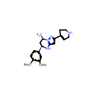 COc1ccc([C@H]2C[C@@H](C(F)(F)F)n3nc(C4=CCNCC4)cc3N2)cc1OC